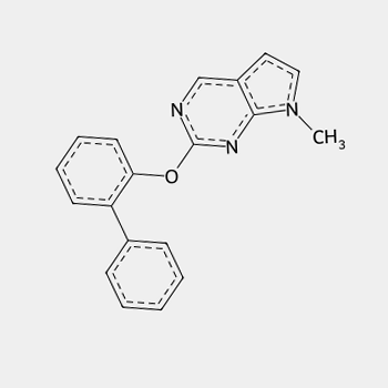 Cn1ccc2cnc(Oc3ccccc3-c3ccccc3)nc21